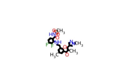 Cc1cc(CCNc2c(C(=O)NS(C)(=O)=O)ccc(F)c2F)c2oc(-c3cnn(C)c3)c(C)c(=O)c2c1